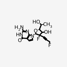 C[C@H](O)[C@H]1O[C@@H](n2ccc3c(=O)[nH]c(N)nc32)[C@@](F)(C#CCF)C1O